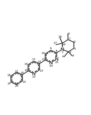 CC1[CH]CC(C)(C)N(c2ccc(-c3ccc(-c4ccccc4)nc3)nn2)C1(C)C